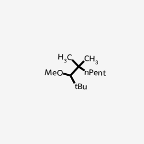 CCCCCC(C)(C)[C](OC)C(C)(C)C